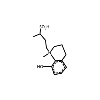 CC(CC[N+]1(C)CCCc2cccc(O)c21)S(=O)(=O)O